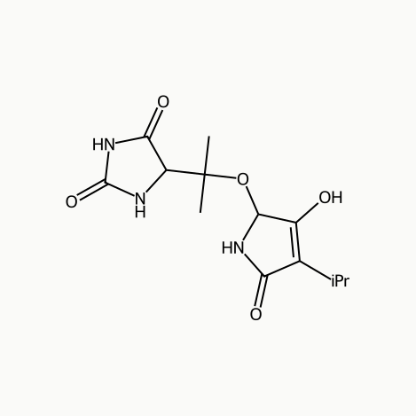 CC(C)C1=C(O)C(OC(C)(C)C2NC(=O)NC2=O)NC1=O